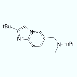 CCCN(C)Cc1ccc2nc(C(C)(C)C)cn2c1